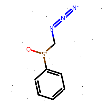 [N-]=[N+]=NC[S+]([O-])c1ccccc1